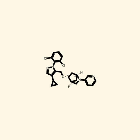 Clc1cccc(Cl)c1-n1ncc(C2CC2)c1CO[C@@H]1C[C@@H]2C[C@H]1CN2c1cccnc1